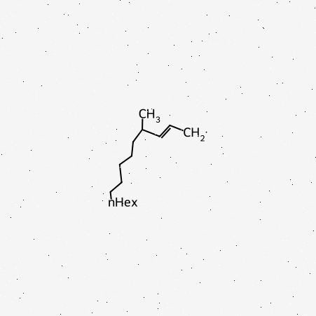 [CH2]C=CC(C)CCCCCCCCCC[CH2]